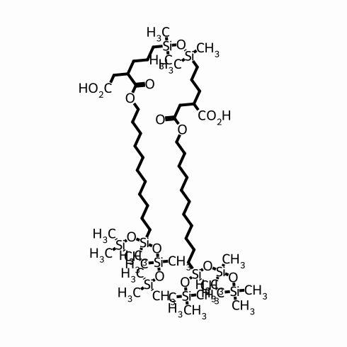 C[Si](C)(C)O[Si](C)(C)O[Si](C)(CCCCCCCCCCCOC(=O)CC(CCC[Si](C)(C)O[Si](C)(C)CCCC(CC(=O)O)C(=O)OCCCCCCCCCCC[Si](C)(O[Si](C)(C)C)O[Si](C)(C)O[Si](C)(C)C)C(=O)O)O[Si](C)(C)C